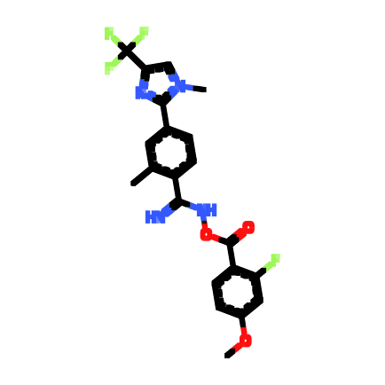 COc1ccc(C(=O)ONC(=N)c2ccc(-c3nc(C(F)(F)F)cn3C)cc2C)c(F)c1